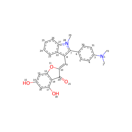 CN(C)c1ccc(-c2c(C=C3Oc4cc(O)cc(O)c4C3=O)c3ccccc3n2C)cc1